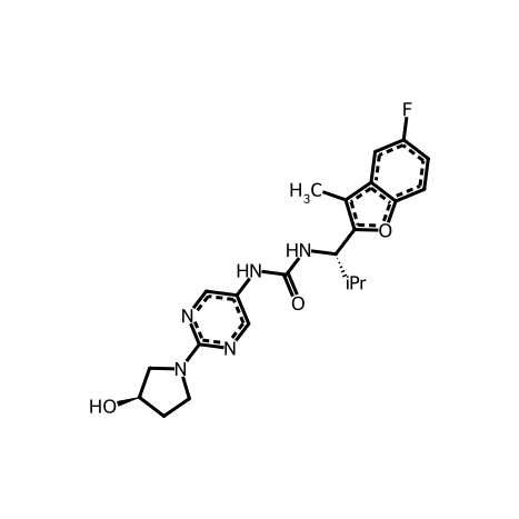 Cc1c([C@@H](NC(=O)Nc2cnc(N3CC[C@@H](O)C3)nc2)C(C)C)oc2ccc(F)cc12